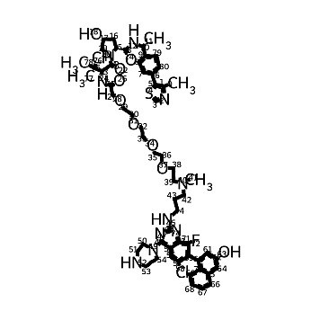 Cc1ncsc1-c1ccc(C(C)NC(=O)[C@@H]2C[C@@H](O)CN2C(=O)C(NC(=O)COCCOCCOCCOCCN(C)CCCNc2nc(N3CCNCC3)c3cc(Cl)c(-c4cc(O)cc5ccccc45)c(F)c3n2)C(C)(C)C)cc1